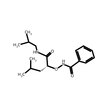 CC(C)CNC(=O)[C@@H](CC(C)C)ONC(=O)c1ccccc1